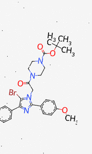 COc1ccc(-c2nc(-c3ccc(Cl)cc3)c(Br)n2CC(=O)N2CCN(C(=O)OC(C)(C)C)CC2)cc1